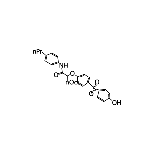 [CH2]CCc1ccc(NC(=O)C(CCCCCCCC)Oc2ccc(S(=O)(=O)c3ccc(O)cc3)cc2)cc1